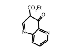 CCOC(=O)C1C=Nc2cccnc2C1=O